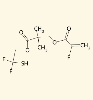 C=C(F)C(=O)OCC(C)(C)C(=O)OCC(F)(F)S